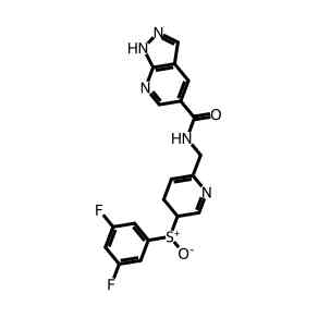 O=C(NCC1=CCC([S+]([O-])c2cc(F)cc(F)c2)C=N1)c1cnc2[nH]ncc2c1